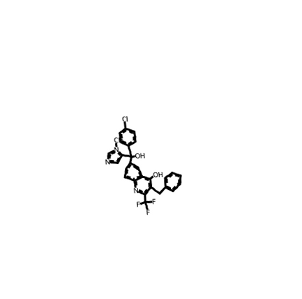 Cn1cncc1C(O)(c1ccc(Cl)cc1)c1ccc2nc(C(F)(F)F)c(Cc3ccccc3)c(O)c2c1